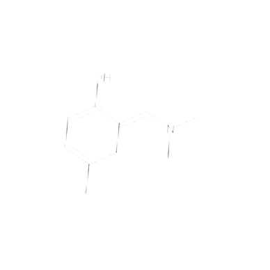 CC1=CC=C(O)C(=CN(C)C)C1